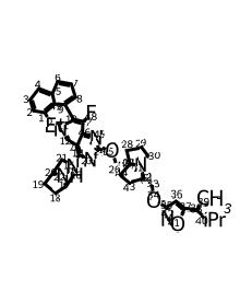 CCc1cccc2cccc(-c3ncc4c(N5CC6CCC(C5)N6)nc(OC[C@]56CCCN5[C@H](COc5cc(C(C)C(C)C)on5)CC6)nc4c3F)c12